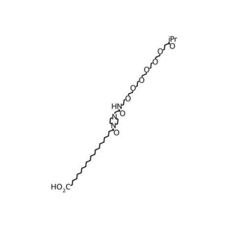 CC(C)C(=O)CCOCCOCCOCCOCCOCCOCCNC(=O)CN1CCN(C(=O)CCCCCCCCCCCCCCCCCCC(=O)O)CC1